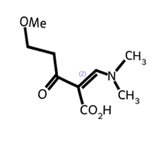 COCCC(=O)/C(=C/N(C)C)C(=O)O